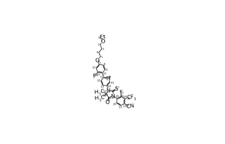 CCOCCCCOc1ccc(-c2ccc(N3C(=S)N(c4ccc(C#N)c(C(F)(F)F)c4F)C(=O)C3(C)C)cn2)c(F)c1